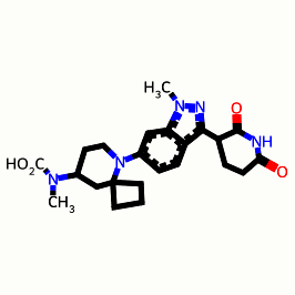 CN(C(=O)O)C1CCN(c2ccc3c(C4CCC(=O)NC4=O)nn(C)c3c2)C2(CCC2)C1